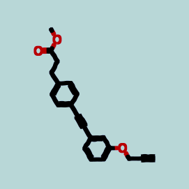 C#CCOc1cccc(C#Cc2ccc(CCC(=O)OC)cc2)c1